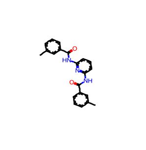 Cc1cccc(C(=O)Nc2cccc(NC(=O)c3cccc(C)c3)n2)c1